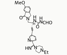 CCN1CCN(C(=N)c2ccc(C#C[C@H](CN3Cc4ccc(OC)cc4C3=O)NC(=O)NC=O)cn2)CC1